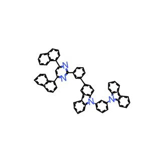 c1cc(-c2ccc3c(c2)c2ccccc2n3-c2cccc(-n3c4ccccc4c4ccccc43)c2)cc(-c2nc(-c3cccc4ccccc34)cc(-c3cccc4ccccc34)n2)c1